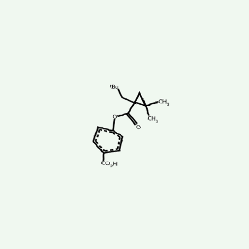 CC(C)(C)CC1(C(=O)Oc2ccc(C(=O)O)cc2)CC1(C)C